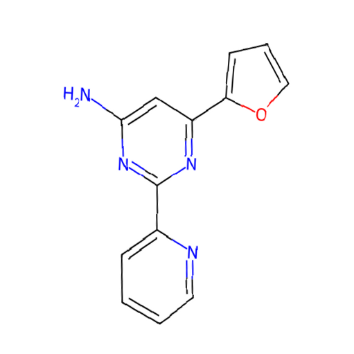 Nc1cc(-c2ccco2)nc(-c2ccccn2)n1